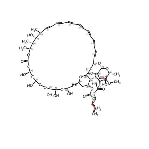 C=CCOC(=O)N[C@@H]1[C@H](O)[C@H](O[C@H]2/C=C/C=C/C=C/C=C/C=C/C=C/C=C/[C@H](C)[C@@H](O)[C@@H](C)[C@H](C)OC(=O)C[C@H](O)C[C@H](O)CC[C@@H](O)[C@H](O)C[C@H](O)C[C@]3(O)C[C@H](OC(=O)OCC=C)[C@@H](NC(=O)NOC)[C@H](C2)O3)O[C@H](C)[C@H]1O